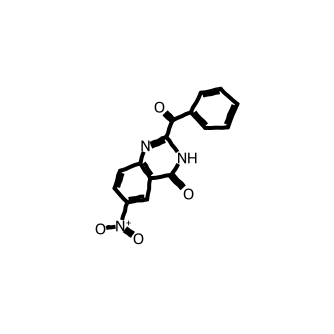 O=C(c1ccccc1)c1nc2ccc([N+](=O)[O-])cc2c(=O)[nH]1